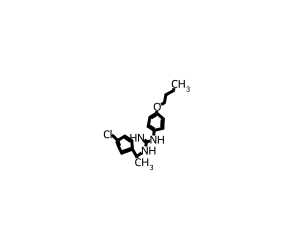 CCCCOc1ccc(NC(=N)NC(C)c2ccc(Cl)cc2)cc1